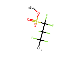 CCCCOS(=O)(=O)C(F)(F)C(F)(F)C(F)(F)C(F)(F)F